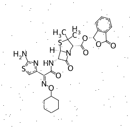 CC1(C)S[C@@H]2[C@@H](NC(=O)/C(=N\OC3CCCCC3)c3csc(N)n3)C(=O)N2[C@H]1C(=O)O[C@H]1OC(=O)c2ccccc21